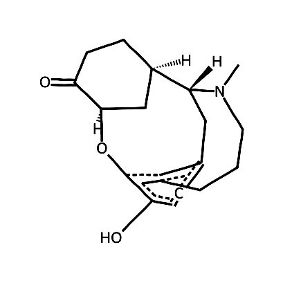 CN1CCCc2c3ccc(O)c2O[C@@H]2C[C@@H](CCC2=O)[C@H]1C3